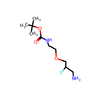 CC(C)(C)OC(=O)NCCOCC(F)CN